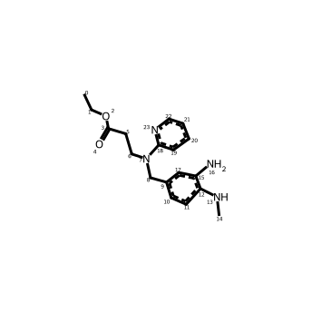 CCOC(=O)CCN(Cc1ccc(NC)c(N)c1)c1ccccn1